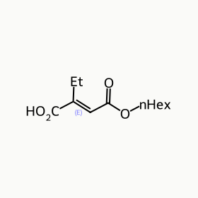 CCCCCCOC(=O)/C=C(\CC)C(=O)O